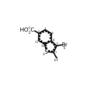 O=C(O)c1ccc2c(Br)c(I)sc2c1